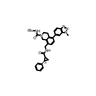 Cn1nnc2ccc(-c3ccc(CNC(=O)C4C[C@H]4c4ccccc4)c4c3CCN(C(=O)NC(C)(C)C)C4)cc21